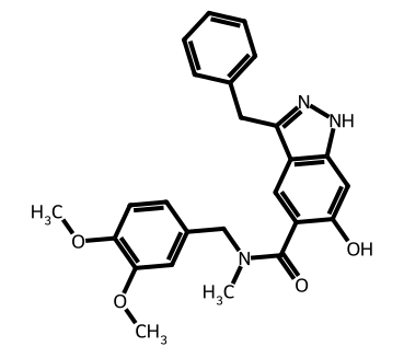 COc1ccc(CN(C)C(=O)c2cc3c(Cc4ccccc4)n[nH]c3cc2O)cc1OC